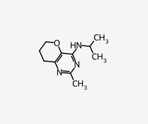 Cc1nc2c(c(NC(C)C)n1)OCCC2